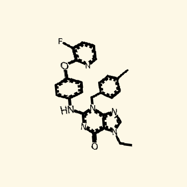 CCn1cnc2c1c(=O)nc(Nc1ccc(Oc3ncccc3F)cc1)n2Cc1ccc(C)cc1